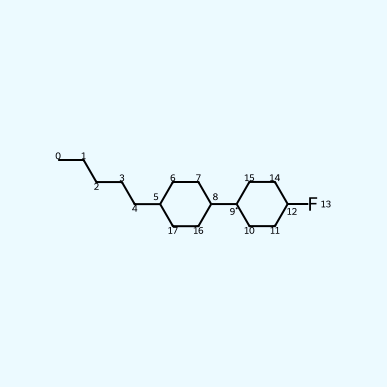 CCCCCC1CCC([C]2CCC(F)CC2)CC1